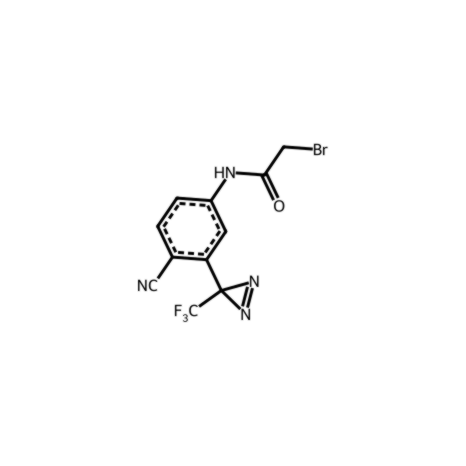 N#Cc1ccc(NC(=O)CBr)cc1C1(C(F)(F)F)N=N1